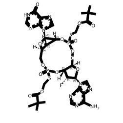 CC(C)(C)C(=O)OCSP1(=O)OC[C@H]2O[C@@H](n3cnc4c(N)ncnc43)[C@H](F)[C@@H]2OP(=O)(SCOC(=O)C(C)(C)C)OC[C@H]2O[C@@H](n3cnc4c(=O)[nH]cnc43)[C@H](O1)[C@H]2F